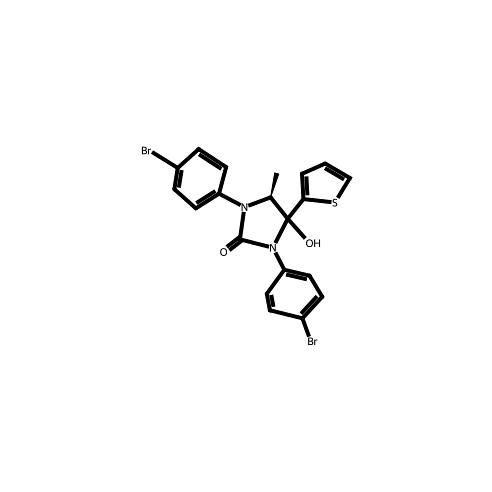 C[C@@H]1N(c2ccc(Br)cc2)C(=O)N(c2ccc(Br)cc2)C1(O)c1cccs1